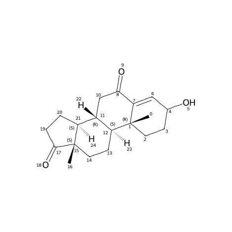 C[C@]12CCC(O)C=C1C(=O)C[C@@H]1[C@@H]2CC[C@]2(C)C(=O)CC[C@@H]12